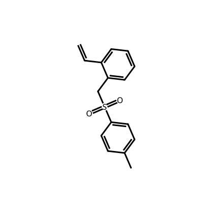 C=Cc1ccccc1CS(=O)(=O)c1ccc(C)cc1